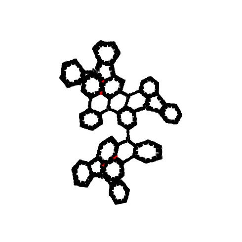 c1ccc(-c2ccccc2N(c2cc3c4c(c2)-n2c5ccccc5c5cccc(c52)B4c2cc4c5ccccc5n(-c5ccccc5)c4cc2N3c2ccccc2-c2ccccc2)c2ccc3c4ccccc4n(-c4ccccc4)c3c2)cc1